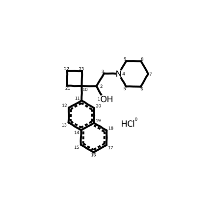 Cl.OC(CN1CCCCC1)C1(c2ccc3ccccc3c2)CCC1